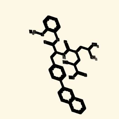 COc1ccccc1OC(=O)C(Cc1ccc(-c2ccc3ccccc3c2)cc1)NC(=O)N(CC(C)C)CC(O)C(=O)O